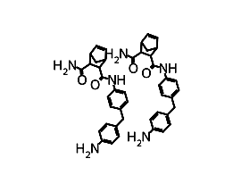 NC(=O)C1C2C=CC(C2)C1C(=O)Nc1ccc(Cc2ccc(N)cc2)cc1.NC(=O)C1C2C=CC(C2)C1C(=O)Nc1ccc(Cc2ccc(N)cc2)cc1